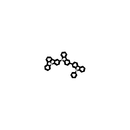 c1ccc(-n2c3ccccc3c3ccc(-c4ccc5c(c4)c4ccccc4n5-c4ccc5c(c4)c4cccc6c7ccccc7n5c64)cc32)cc1